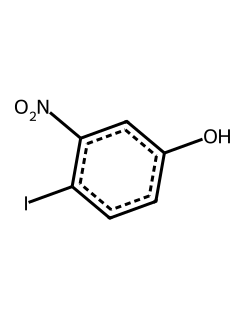 O=[N+]([O-])c1cc(O)ccc1I